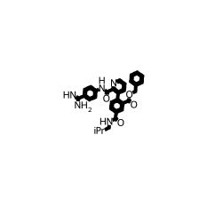 CC(C)CNC(=O)c1ccc(-c2cccnc2C(=O)Nc2ccc(C(=N)N)cc2)c(C(=O)OCc2ccccc2)c1